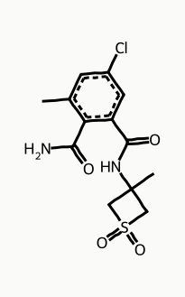 Cc1cc(Cl)cc(C(=O)NC2(C)CS(=O)(=O)C2)c1C(N)=O